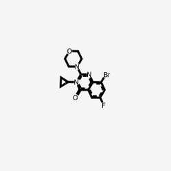 O=c1c2cc(F)cc(Br)c2nc(N2CCOCC2)n1C1CC1